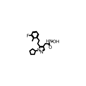 Cc1c(F)cccc1CCc1c(CC(=O)NO)cnn1C1CCCC1